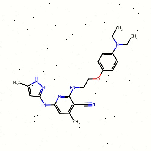 CCN(CC)c1ccc(OCCNc2nc(Nc3cc(C)[nH]n3)cc(C)c2C#N)cc1